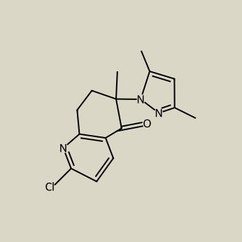 Cc1cc(C)n(C2(C)CCc3nc(Cl)ccc3C2=O)n1